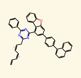 C=C/C=C\C=C/Cc1nc(-c2ccccc2)nc(-c2cc(-c3ccc(-c4cccc5ccccc45)cc3)cc3oc4ccccc4c23)n1